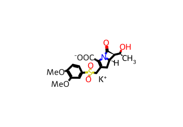 COc1ccc(S(=O)(=O)CC2=C(C(=O)[O-])N3C(=O)[C@@H]([C@@H](C)O)[C@H]3C2)cc1OC.[K+]